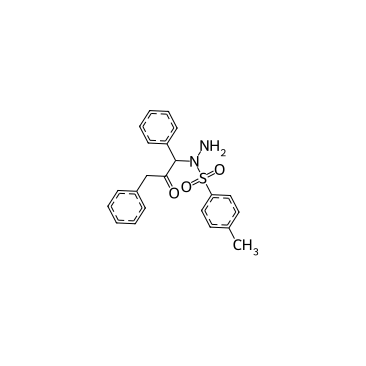 Cc1ccc(S(=O)(=O)N(N)C(C(=O)Cc2ccccc2)c2ccccc2)cc1